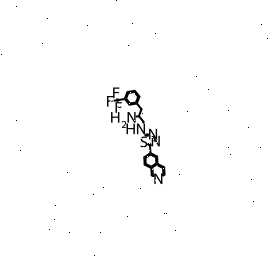 NC(CNc1nnc(-c2ccc3cnccc3c2)s1)Cc1cccc(C(F)(F)F)c1